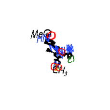 COC(=O)Nc1ccc(-c2c[nH]c([C@@H]3[C@H](C4CC4)C[C@H](C4CCN(S(C)(=O)=O)CC4)CN3C(=O)/C=C/c3cc(Cl)ccc3-n3cnnn3)n2)cc1